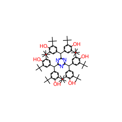 CC(C)(C)c1cc(C(c2cc(C(C)(C)C)c(O)c(C(C)(C)C)c2)c2nc(C(c3cc(C(C)(C)C)c(O)c(C(C)(C)C)c3)c3cc(C(C)(C)C)c(O)c(C(C)(C)C)c3)nc(C(c3cc(C(C)(C)C)c(O)c(C(C)(C)C)c3)c3cc(C(C)(C)C)c(O)c(C(C)(C)C)c3)n2)cc(C(C)(C)C)c1O